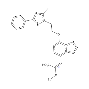 CCO/C(=C/c1ccc(OCCc2nc(-c3ccccc3)oc2C)c2occc12)C(=O)O